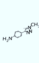 Cn1[c]c(-c2ccc(N)cc2)nn1